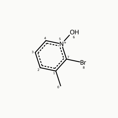 Cc1ccc[n+](O)c1Br